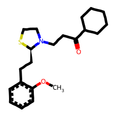 COc1ccccc1CC[C@H]1SCCN1CCC(=O)C1CCCCC1